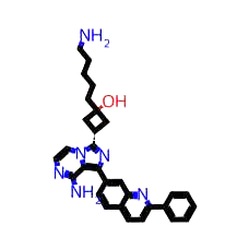 NCCCCC[C@]1(O)C[C@H](c2nc(-c3ccc4ccc(-c5ccccc5)nc4c3)c3c(N)nccn32)C1